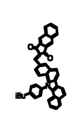 CCC(C)c1ccc(-n2c3c4ccccc4ccc3c3ccc4cc(C=C5C(=O)c6cc7ccccc7cc6C5=O)ccc4c32)cc1